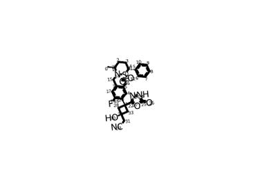 C[C@H]1CC[C@H](c2ccccc2)S(=O)(=O)N1Cc1cc(F)c([C@]2(c3n[nH]c(=O)o3)C[C@@](O)(CC#N)C2)cc1F